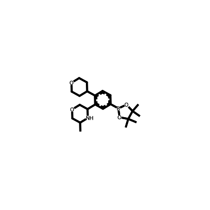 CC1COCC(c2cc(B3OC(C)(C)C(C)(C)O3)ccc2C2CCOCC2)N1